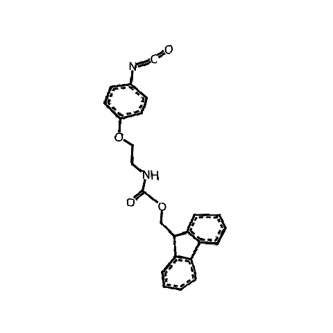 O=C=Nc1ccc(OCCNC(=O)OCC2c3ccccc3-c3ccccc32)cc1